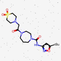 CC(C)(C)c1cc(NC(=O)N2CCCN(C(=O)CN3CCS(=O)(=O)CC3)CC2)no1